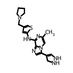 Cc1cn2c(C3=CNNC3)cnc2c(Nc2cc(CN3CCCC3)cs2)n1